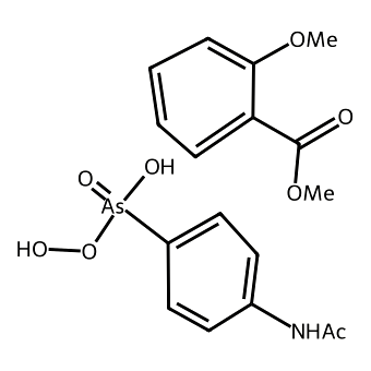 CC(=O)Nc1ccc([As](=O)(O)OO)cc1.COC(=O)c1ccccc1OC